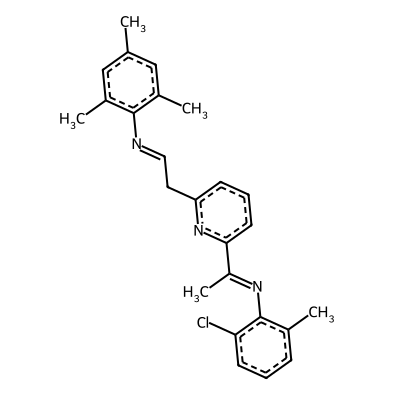 CC(=Nc1c(C)cccc1Cl)c1cccc(CC=Nc2c(C)cc(C)cc2C)n1